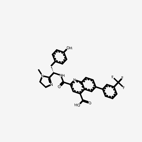 CN1CCN=C1[C@H](Cc1ccc(O)cc1)NC(=O)c1cc(C(=O)O)c2cc(-c3cccc(C(F)(F)F)c3)ccc2n1